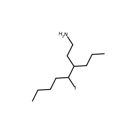 CCCCC(I)C(CCC)CCN